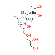 CC(O)CO.CC(O)CO.CC(O)CO.CCCCC(CC)C(=O)O.CCCCC(CC)C(=O)O